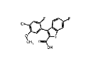 COc1cc(-c2c(C(=O)O)sc3cc(F)ccc23)c(F)cc1Cl